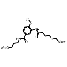 CCCCCCCCCCCOCCCC(=O)Nc1cc(C(=O)NCCCOC)ccc1SCC